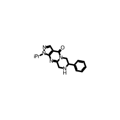 CC(C)n1ncc2c(=O)n3c(nc21)CNC(c1ccccc1)C3